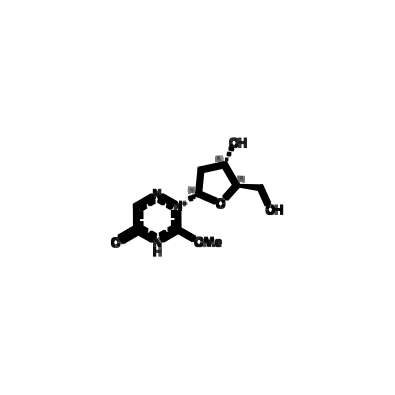 COc1[nH]c(=O)cn[n+]1[C@@H]1C[C@H](O)[C@@H](CO)O1